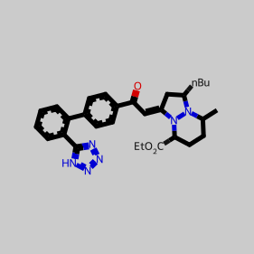 CCCCC1CC(=CC(=O)c2ccc(-c3ccccc3-c3nnn[nH]3)cc2)N2C(C(=O)OCC)CCC(C)N12